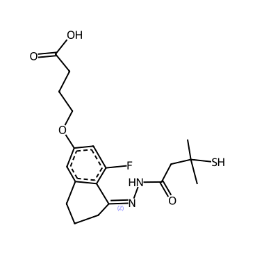 CC(C)(S)CC(=O)N/N=C1/CCCc2cc(OCCCC(=O)O)cc(F)c21